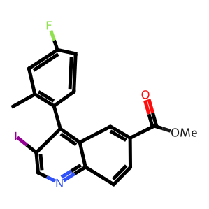 COC(=O)c1ccc2ncc(I)c(-c3ccc(F)cc3C)c2c1